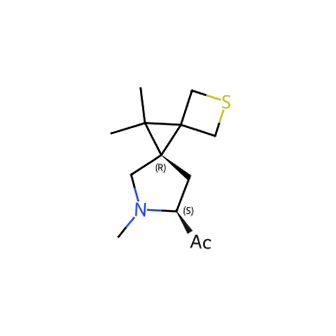 CC(=O)[C@@H]1C[C@@]2(CN1C)C(C)(C)C21CSC1